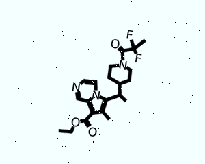 CCOC(=O)c1c(C)c(C(C)C2CCN(C(=O)C(C)(F)F)CC2)n2ccncc12